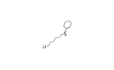 [Li][CH2]CCCCCSC1CCCCC1